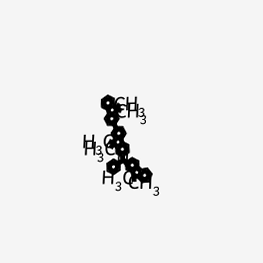 CC1(C)c2ccccc2-c2ccc(-c3ccc4c(c3)C(C)(C)c3cc(N(c5ccccc5)c5ccc6c(c5)C(C)(C)c5ccccc5-6)ccc3-4)cc21